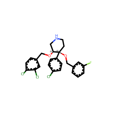 Fc1cccc(CO[C@]2(c3ccc(Cl)cc3)CCNC[C@@H]2OCc2ccc(Cl)c(Cl)c2)c1